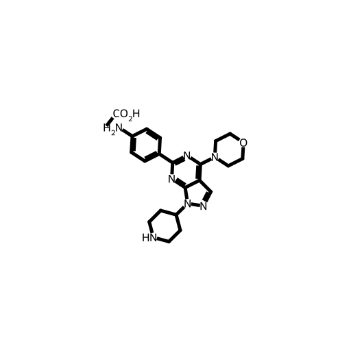 CC(=O)O.Nc1ccc(-c2nc(N3CCOCC3)c3cnn(C4CCNCC4)c3n2)cc1